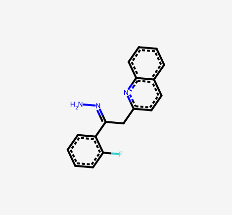 NN=C(Cc1ccc2ccccc2n1)c1ccccc1F